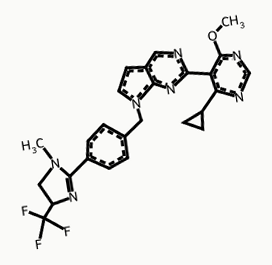 COc1ncnc(C2CC2)c1-c1ncc2ccn(Cc3ccc(C4=NC(C(F)(F)F)CN4C)cc3)c2n1